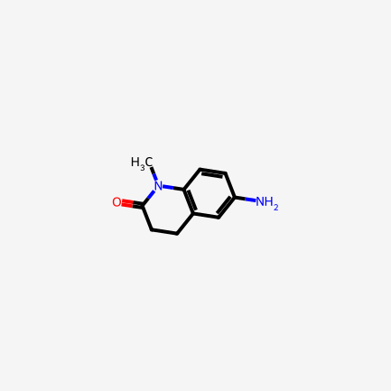 CN1C(=O)CCc2cc(N)ccc21